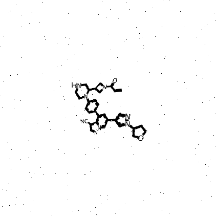 C=CC(=O)N1CC(C2CNCCN2c2ccc(-c3cc(-c4cnn(C5CCOC5)c4)cn4ncc(C#N)c34)cc2)C1